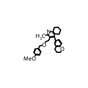 COc1ccc(COCCc2c(C)nc3c(c2-c2ccc4c(c2)CCCO4)CCCC3)cc1